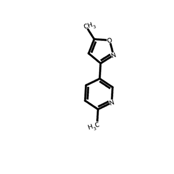 Cc1ccc(-c2cc(C)on2)cn1